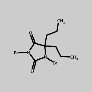 CCCC1(CCC)C(=O)N(Br)C(=O)N1Br